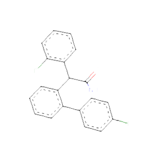 NC(=O)C(c1ccccc1F)c1ccccc1-c1ccc(F)cc1